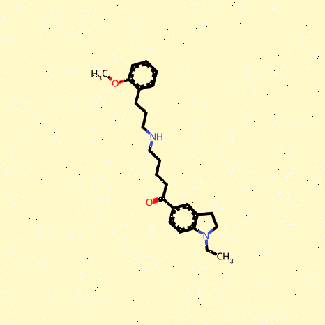 CCN1CCc2cc(C(=O)CCCCNCCCc3ccccc3OC)ccc21